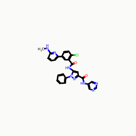 CNc1cccc(-c2ccc(Cl)c(C(=O)Nc3cc(C(=O)Nc4cncnc4)nn3-c3ccccc3)c2)n1